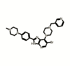 CN1CCN(c2ccc(-c3nc4c(N5CCN(Cc6cccnc6)CC5)c(Br)cnc4[nH]3)cc2)CC1